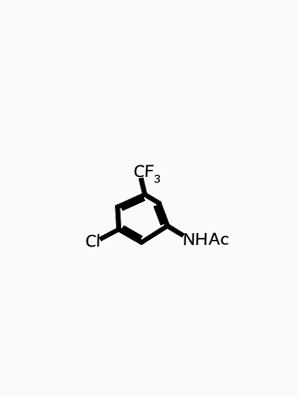 CC(=O)Nc1cc(Cl)cc(C(F)(F)F)c1